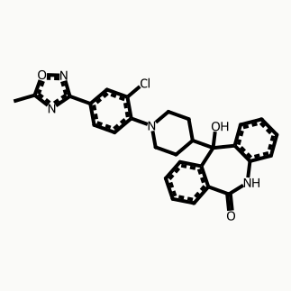 Cc1nc(-c2ccc(N3CCC(C4(O)c5ccccc5NC(=O)c5ccccc54)CC3)c(Cl)c2)no1